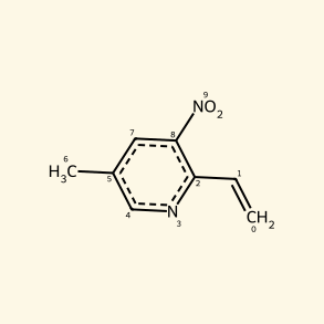 C=Cc1ncc(C)cc1[N+](=O)[O-]